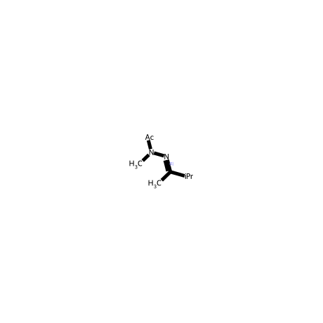 CC(=O)N(C)/N=C(\C)C(C)C